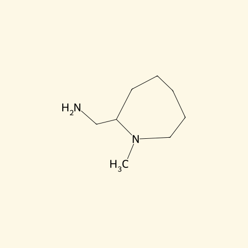 CN1CCCCCC1CN